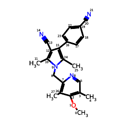 COc1c(C)cnc(Cn2c(C)c(C#N)c(-c3ccc(C#N)cc3)c2C)c1C